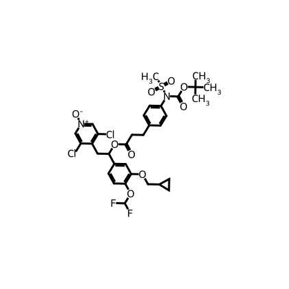 CC(C)(C)OC(=O)N(c1ccc(CCC(=O)OC(Cc2c(Cl)c[n+]([O-])cc2Cl)c2ccc(OC(F)F)c(OCC3CC3)c2)cc1)S(C)(=O)=O